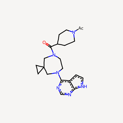 CC(=O)N1CCC(C(=O)N2CCN(c3ncnc4[nH]ccc34)CC3(CC3)C2)CC1